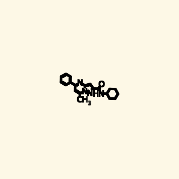 Cc1cc(-c2ccccc2)nc2cc(C(=O)NC3CCCCC3)nn12